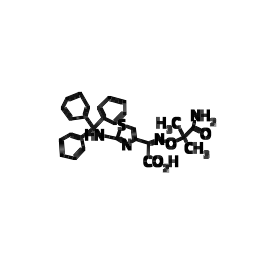 CC(C)(O/N=C(\C(=O)O)c1csc(NC(c2ccccc2)(c2ccccc2)c2ccccc2)n1)C(N)=O